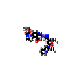 Cc1c(NC(=O)OC(C)(C)C)ccc2nc(NCCC(C)CC(=O)N(C)Cc3ccccn3)oc(=O)c12